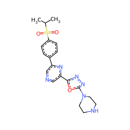 CC(C)S(=O)(=O)c1ccc(-c2cncc(-c3nnc(N4CCNCC4)o3)n2)cc1